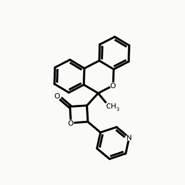 CC1(C2C(=O)OC2c2cccnc2)Oc2ccccc2-c2ccccc21